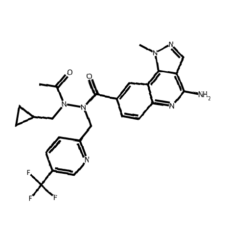 CC(=O)N(CC1CC1)N(Cc1ccc(C(F)(F)F)cn1)C(=O)c1ccc2nc(N)c3cnn(C)c3c2c1